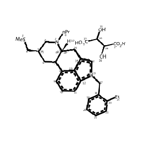 CCCN1C[C@H](CSC)CC2c3cccc4c3c(cn4Cc3ccccc3CC)C[C@H]21.O=C(O)C(O)C(O)C(=O)O